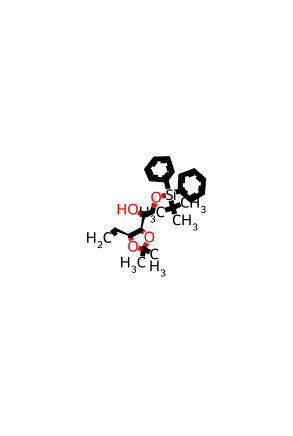 C=C[C@@H]1OC(C)(C)O[C@@H]1C(O)CO[Si](c1ccccc1)(c1ccccc1)C(C)(C)C